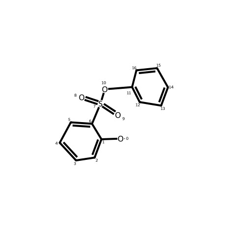 [O]c1ccccc1S(=O)(=O)Oc1ccccc1